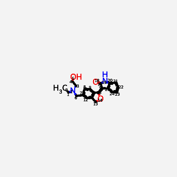 CCN(CCO)Cc1ccc2c(c1)COC2=C1C(=O)Nc2ccccc21